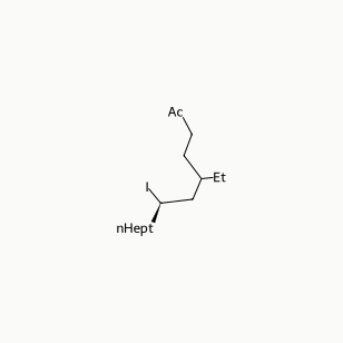 CCCCCCC[C@@H](I)CC(CC)CCC(C)=O